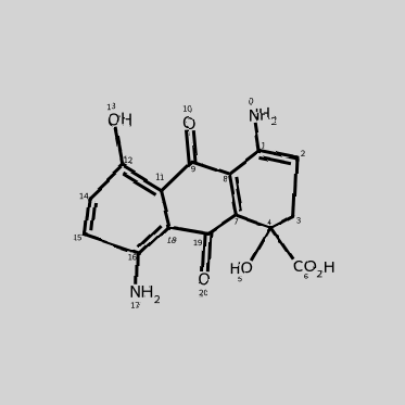 NC1=CCC(O)(C(=O)O)C2=C1C(=O)c1c(O)ccc(N)c1C2=O